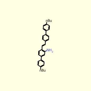 CCCCc1ccc(-c2ccc(C=Cc3ccc(-c4ccc(CCCC)cc4)cc3N)cc2)cc1